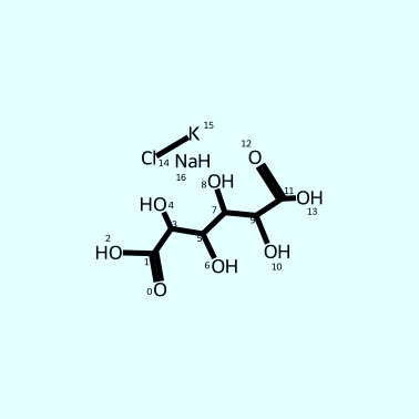 O=C(O)C(O)C(O)C(O)C(O)C(=O)O.[Cl][K].[NaH]